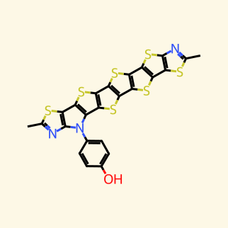 Cc1nc2sc3c(sc4c3sc3c4sc4c3sc3c5sc(C)nc5n(-c5ccc(O)cc5)c43)c2s1